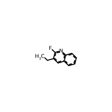 CCc1cc2ccccc2nc1F